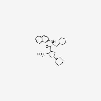 O=C(O)C1CC(N2CCCCC2)CN1C(=O)C(CC1CCCCC1)Nc1ccc2ccccc2c1